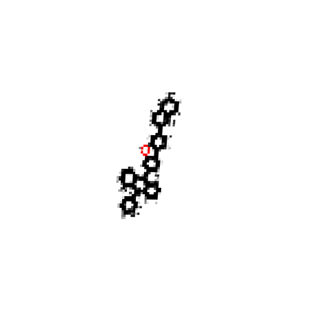 c1ccc(-c2c3ccccc3c(-c3ccc4c(c3)oc3cc(-c5ccc6ccccc6c5)ccc34)c3ccccc23)cc1